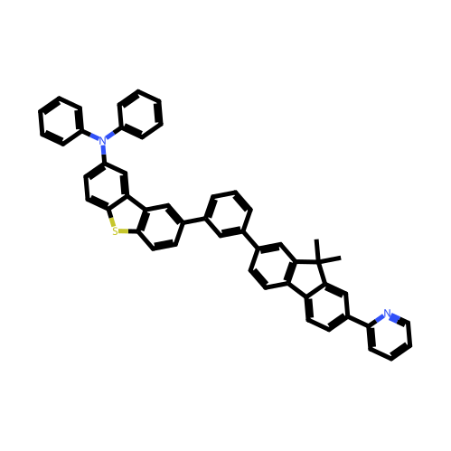 CC1(C)c2cc(-c3cccc(-c4ccc5sc6ccc(N(c7ccccc7)c7ccccc7)cc6c5c4)c3)ccc2-c2ccc(-c3ccccn3)cc21